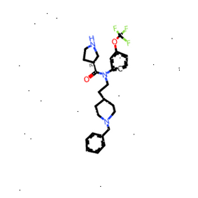 O=C([C@H]1CCNC1)N(CCC1CCN(Cc2ccccc2)CC1)c1cccc(OC(F)(F)F)c1